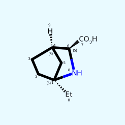 CC[C@]12CC[C@H](C1)[C@@H](C(=O)O)N2